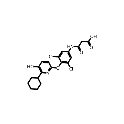 O=C(O)CC(=O)Nc1cc(Cl)c(Oc2ccc(O)c(C3CCCCC3)n2)c(Cl)c1